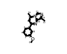 COc1cccc(-c2cc(C)n3cnc(C)c3n2)c1